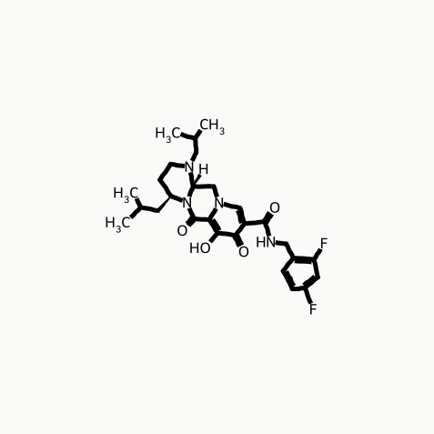 CC(C)C[C@H]1CCN(CC(C)C)[C@@H]2Cn3cc(C(=O)NCc4ccc(F)cc4F)c(=O)c(O)c3C(=O)N12